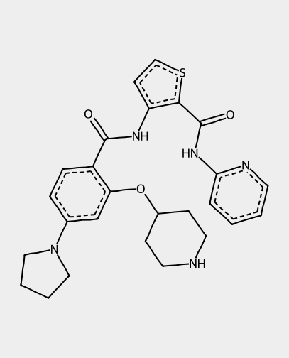 O=C(Nc1ccsc1C(=O)Nc1ccccn1)c1ccc(N2CCCC2)cc1OC1CCNCC1